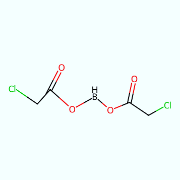 O=C(CCl)OBOC(=O)CCl